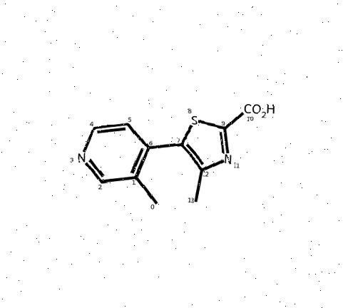 Cc1cnccc1-c1sc(C(=O)O)nc1C